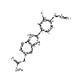 COC(=O)Cc1ccc2[nH]c(-c3ccc(N=C=S)c(F)c3)nc2c1